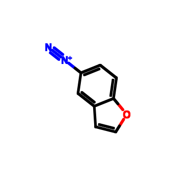 N#[N+]c1ccc2occc2c1